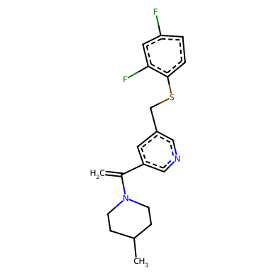 C=C(c1cncc(CSc2ccc(F)cc2F)c1)N1CCC(C)CC1